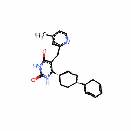 Cc1ccnc(Cc2c(=O)[nH]c(=O)[nH]c2[C@H]2CC[C@H](C3C=CC=CC3)CC2)c1